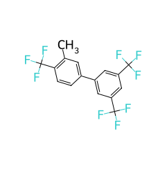 Cc1cc(-c2cc(C(F)(F)F)cc(C(F)(F)F)c2)ccc1C(F)(F)F